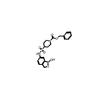 O=C(OCc1ccccc1)N1CCC(S(=O)(=O)Nc2ccc3c(c2)B(O)OC3)CC1